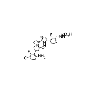 Nc1ccc(Cl)c(F)c1C1=CC(=O)N2C(CC[C@H]2c2ncc(-c3ccnc(CNC(=O)O)c3F)[nH]2)C1